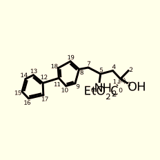 CCOC(=O)[C@](C)(O)CC(N)Cc1ccc(-c2ccccc2)cc1